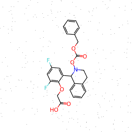 O=C(O)COc1c(F)cc(F)cc1C1c2ccccc2CCN1OC(=O)OCc1ccccc1